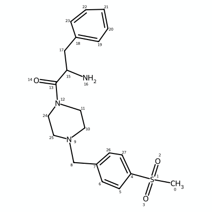 CS(=O)(=O)c1ccc(CN2CCN(C(=O)C(N)Cc3ccccc3)CC2)cc1